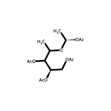 CC(=O)OC[C@@H](OC(C)=O)C(OC(C)=O)C(C)O[C@H](C)OC(C)=O